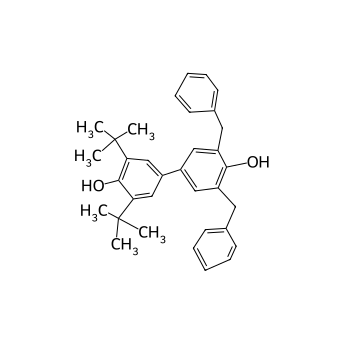 CC(C)(C)c1cc(-c2cc(Cc3ccccc3)c(O)c(Cc3ccccc3)c2)cc(C(C)(C)C)c1O